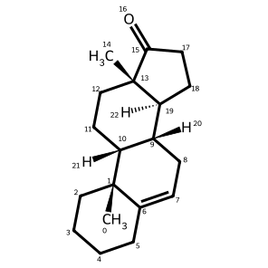 C[C@]12CCCCC1=CC[C@@H]1[C@H]2CC[C@]2(C)C(=O)CC[C@@H]12